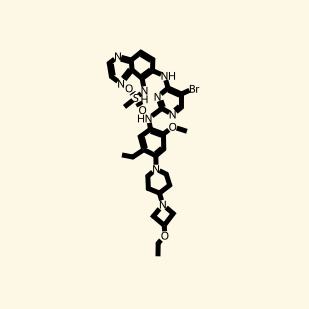 CCOC1CN(C2CCN(c3cc(OC)c(Nc4ncc(Br)c(Nc5ccc6nccnc6c5NS(C)(=O)=O)n4)cc3CC)CC2)C1